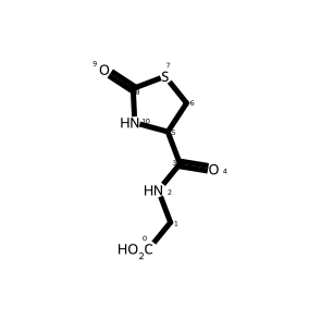 O=C(O)CNC(=O)C1CSC(=O)N1